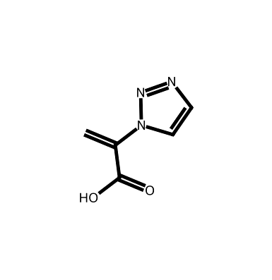 C=C(C(=O)O)n1ccnn1